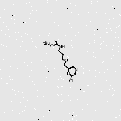 CC(C)(C)OC(=O)NCCCOCc1cncc(Cl)n1